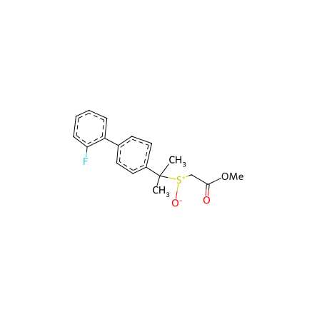 COC(=O)C[S+]([O-])C(C)(C)c1ccc(-c2ccccc2F)cc1